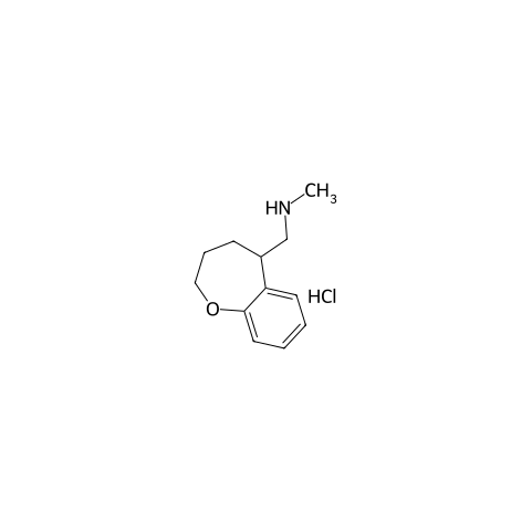 CNCC1CCCOc2ccccc21.Cl